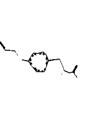 C=CCOc1ccc(C[C@H](N)C(=O)O)cc1